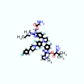 CCCCN(C)c1nc2cc(C3CC[C@H](c4cc5nc(C6CCCN6C)n(COC(=O)C(N)C(C)C)c5cc4F)N3c3cc(F)c(N4CCC(c5ccc(F)cc5)CC4)c(F)c3)c(F)cc2n1COC(=O)CN